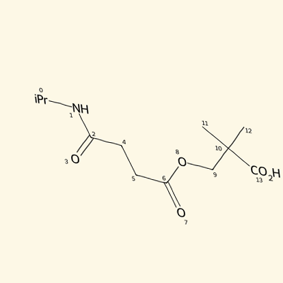 CC(C)NC(=O)CCC(=O)OCC(C)(C)C(=O)O